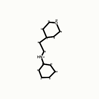 C1CCC(NCCC2CCOCC2)CC1